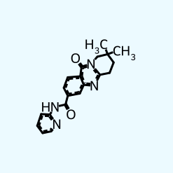 CC1(C)CCc2nc3cc(C(=O)Nc4ccccn4)ccc3c(=O)n2C1